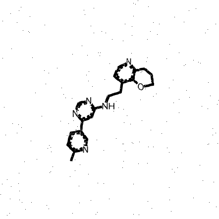 Cc1ccc(-c2cc(NCCc3ccnc4c3OCCC4)ncn2)cn1